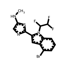 CNc1cnc(-c2cc3c(Br)cccc3n2C(F)C(F)F)s1